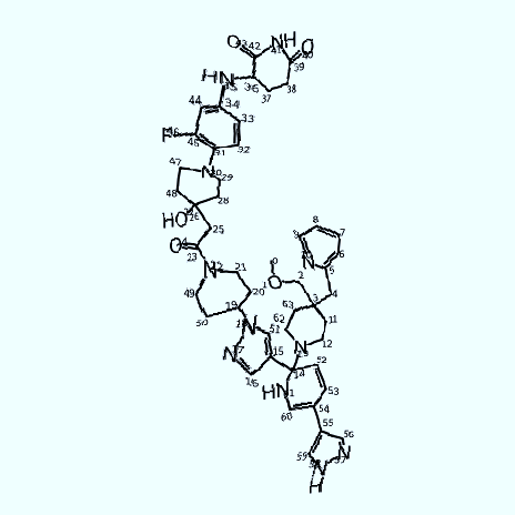 COCC1(Cc2ccccn2)CCN(C2(c3cnn(C4CCN(C(=O)CC5(O)CCN(c6ccc(NC7CCC(=O)NC7=O)cc6F)CC5)CC4)c3)C=CC(c3cn[nH]c3)=CN2)CC1